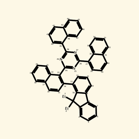 CCC1(CC)c2ccccc2-c2cccc(-c3ccc4ccccc4c3-c3nc(-c4cccc5ccccc45)nc(-c4cccc5ccccc45)n3)c21